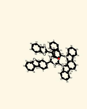 c1ccc(-c2nc(-c3ccc4c(c3)oc3ccccc34)nc(-n3c4ccccc4c4ccc5c6ccccc6n(-c6ccc(-c7nc8ccccc8o7)cc6)c5c43)n2)cc1